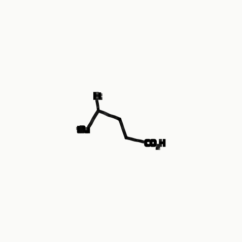 CCC(CCC(=O)O)C(C)(C)C